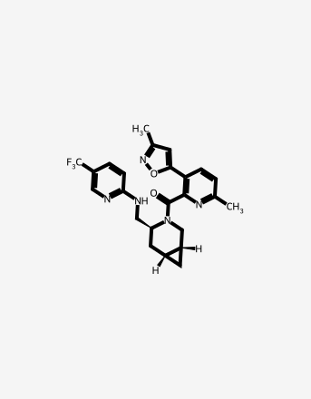 Cc1cc(-c2ccc(C)nc2C(=O)N2C[C@@H]3C[C@@H]3C[C@H]2CNc2ccc(C(F)(F)F)cn2)on1